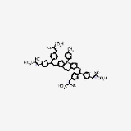 [C-]#[N+]/C(=C\c1ccc(C(=Cc2ccc3c(c2)C=Cc2cc(C=C(c4ccc(/C=C(\[N+]#[C-])C(=O)O)cc4)c4ccc(/C=C(\[N+]#[C-])C(=O)O)cc4)ccc2N3c2ccc(C)cc2)c2ccc(/C=C(\[N+]#[C-])C(=O)O)cc2)cc1)C(=O)O